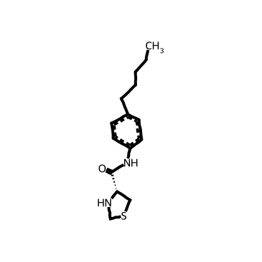 CCCCCc1ccc(NC(=O)[C@@H]2CSCN2)cc1